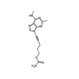 CNc1nc(C)nc2c(C#CCCCOC(N)=O)cnn12